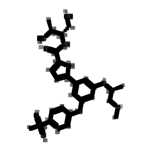 COC[C@H](C)Oc1cc(Oc2ccc(S(C)(=O)=O)nc2)cc(-c2ccc(C(=O)N[C@@H](CO)[C@H](C)O)[nH]2)c1